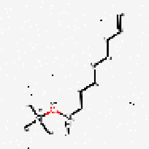 C=CCCCCCC[SiH](C)O[Si](C)(C)C